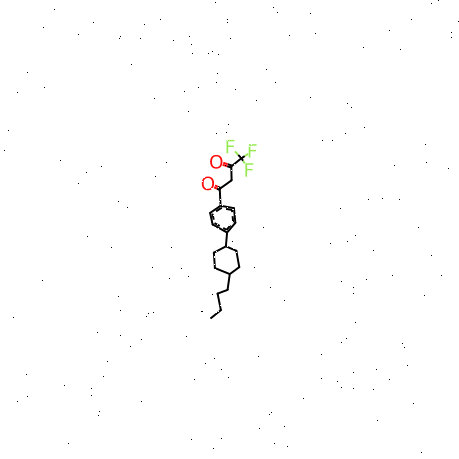 CCCCC1CCC(c2ccc(C(=O)CC(=O)C(F)(F)F)cc2)CC1